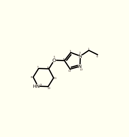 CCn1cc(OC2CCNCC2)cn1